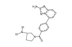 CCN(CC)C1CCN(C(=O)c2ccc(-c3cccc4nc(N)nn34)cc2)C1